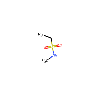 CCS(=O)(=O)NC